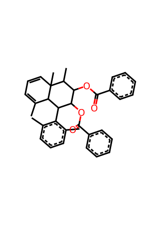 CC1=CC=CC2(C)C(C)C(OC(=O)c3ccccc3)C(OC(=O)c3ccccc3)C(c3c(C)cccc3C)C12